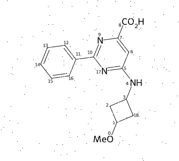 COC1CC(Nc2cc(C(=O)O)nc(-c3ccccc3)n2)C1